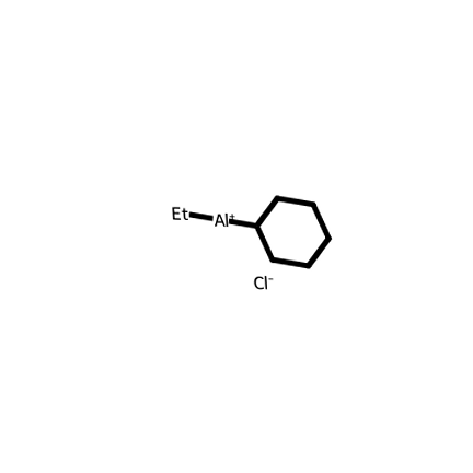 C[CH2][Al+][CH]1CCCCC1.[Cl-]